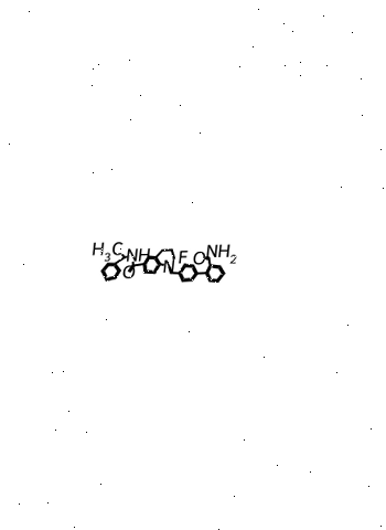 CC(NC(=O)c1ccc2c(c1)CCCN2Cc1ccc(-c2ccccc2C(N)=O)cc1F)c1ccccc1